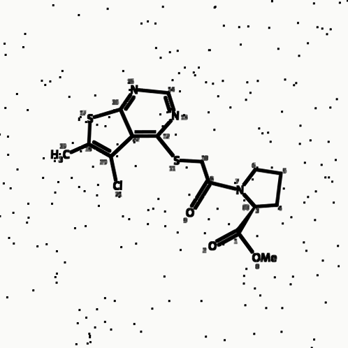 COC(=O)[C@@H]1CCCN1C(=O)CSc1ncnc2sc(C)c(Cl)c12